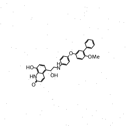 COc1ccc(Oc2ccc(NC[C@H](O)c3ccc(O)c4[nH]c(=O)ccc34)cc2)cc1-c1ccccc1